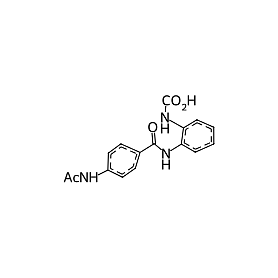 CC(=O)Nc1ccc(C(=O)Nc2ccccc2NC(=O)O)cc1